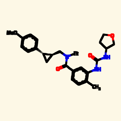 CCN(C[C@H]1C[C@@H]1c1ccc(OC)cc1)C(=O)c1ccc(C)c(NC(=O)NC2CCOC2)c1